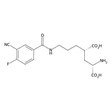 N#Cc1cc(C(=O)NCCC[C@@H](C[C@H](N)C(=O)O)C(=O)O)ccc1F